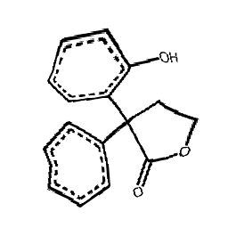 O=C1OCCC1(c1ccccc1)c1ccccc1O